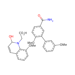 COc1cccc(-c2cc(C(N)=O)ccc2OC)c1.COc1cccc2c1N(CC(=O)O)C(O)C=C2